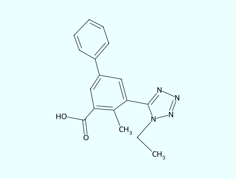 CCn1nnnc1-c1cc(-c2ccccc2)cc(C(=O)O)c1C